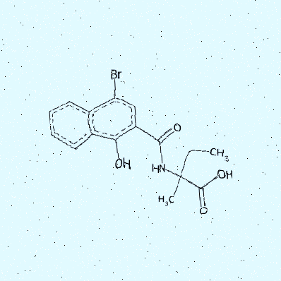 CCC(C)(NC(=O)c1cc(Br)c2ccccc2c1O)C(=O)O